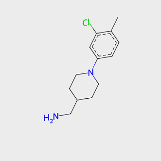 Cc1ccc(N2CCC(CN)CC2)cc1Cl